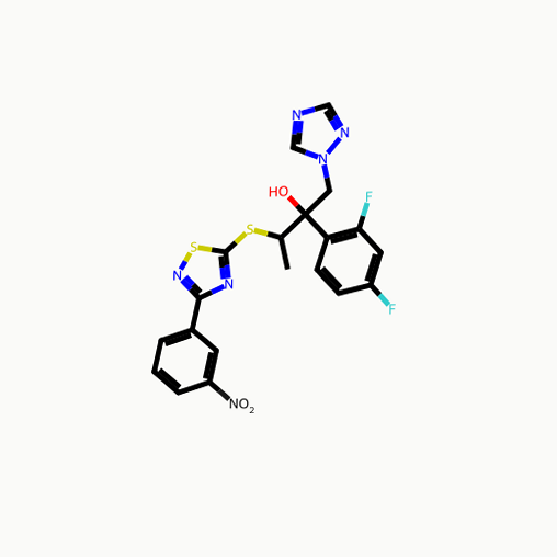 CC(Sc1nc(-c2cccc([N+](=O)[O-])c2)ns1)C(O)(Cn1cncn1)c1ccc(F)cc1F